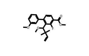 C=CC(C)(C)C(OC)c1c(-c2cccc(OC)c2)ccc(C(=O)OC)c1F